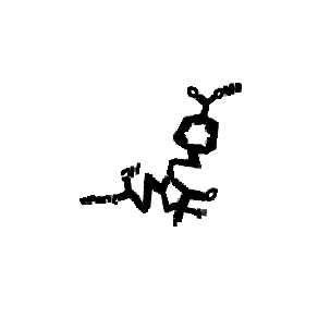 CCCCCC(O)C=CC1CC(F)(F)C(=O)N1CCc1ccc(C(=O)OC)cc1